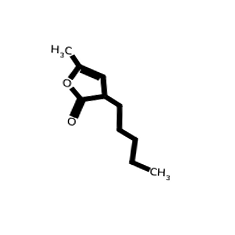 CCCCCC1C=C(C)OC1=O